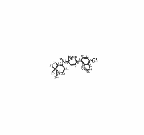 CC1C(N(C)c2ccc(-c3ccc(Cl)c4scnc34)nn2)CCN(C)C1(C)C